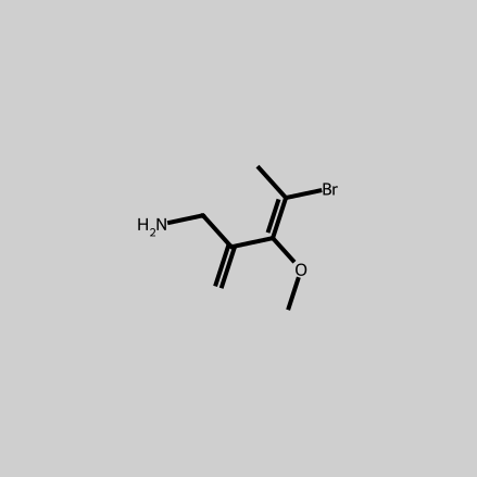 C=C(CN)/C(OC)=C(\C)Br